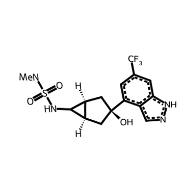 CNS(=O)(=O)NC1[C@H]2C[C@](O)(c3cc(C(F)(F)F)cc4[nH]ncc34)C[C@@H]12